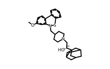 COc1ccc2c(c1)N(CC1CCN(C[C@@H](O)C34CC5CC(CC(C5)C3)C4)CC1)Sc1ccccc1-2